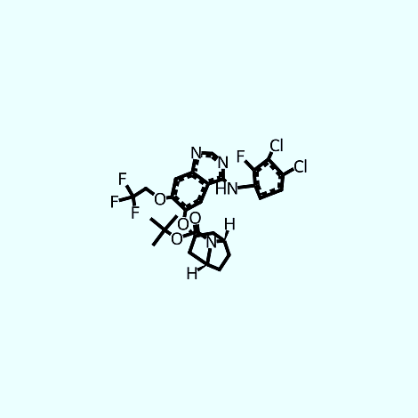 CC(C)(C)OC(=O)N1[C@@H]2CC[C@H]1C[C@H](Oc1cc3c(Nc4ccc(Cl)c(Cl)c4F)ncnc3cc1OCC(F)(F)F)C2